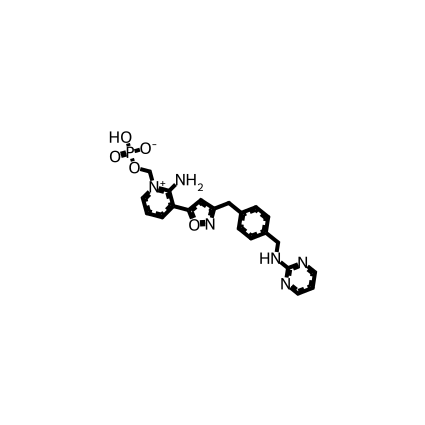 Nc1c(-c2cc(Cc3ccc(CNc4ncccn4)cc3)no2)ccc[n+]1COP(=O)([O-])O